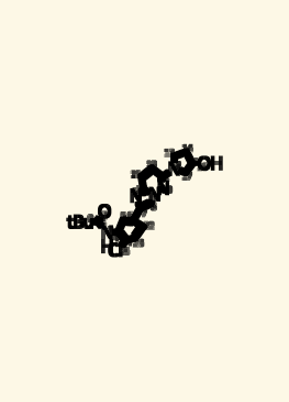 CC(C)(C)C(=O)Nc1cc(-c2cn3nc(N4CC[C@@H](O)C4)ccc3n2)ccc1Cl